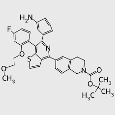 COCCOc1cc(F)ccc1-c1c(-c2cccc(N)c2)nc(-c2ccc3c(c2)CCN(C(=O)OC(C)(C)C)C3)c2ccsc12